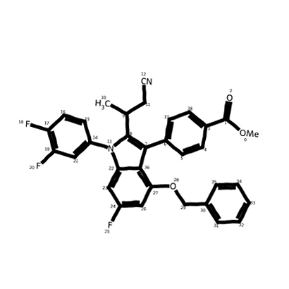 COC(=O)c1ccc(-c2c(C(C)CC#N)n(-c3ccc(F)c(F)c3)c3cc(F)cc(OCc4ccccc4)c23)cc1